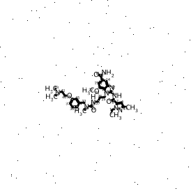 CCn1nc(C)cc1C(=O)Nc1nc2cc(C(N)=O)cc(OC)c2n1CCCNC(=O)N(C)Cc1cccc(OCCN(C)C)c1